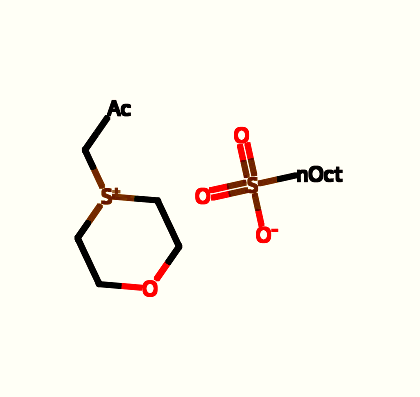 CC(=O)C[S+]1CCOCC1.CCCCCCCCS(=O)(=O)[O-]